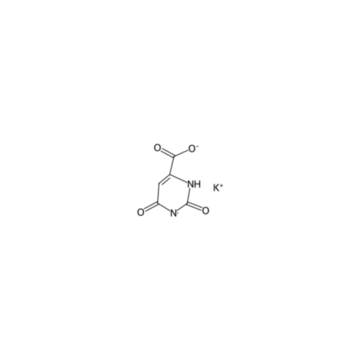 O=C1C=C(C(=O)[O-])NC(=O)[N]1.[K+]